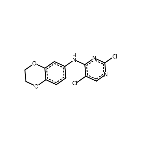 Clc1ncc(Cl)c(Nc2ccc3c(c2)OCCO3)n1